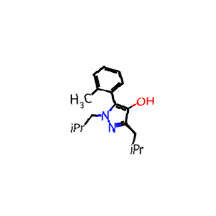 Cc1ccccc1-c1c(O)c(CC(C)C)nn1CC(C)C